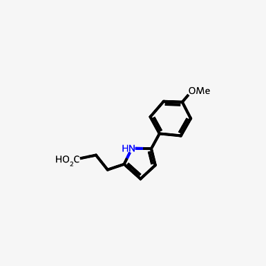 COc1ccc(-c2ccc(CCC(=O)O)[nH]2)cc1